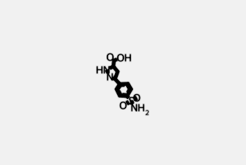 NS(=O)(=O)c1ccc(C2=NNC(C(=O)O)C2)cc1